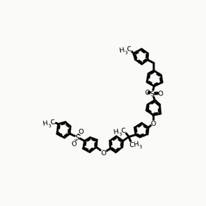 Cc1ccc(Cc2ccc(S(=O)(=O)c3ccc(Oc4ccc(C(C)(C)c5ccc(Oc6ccc(S(=O)(=O)c7ccc(C)cc7)cc6)cc5)cc4)cc3)cc2)cc1